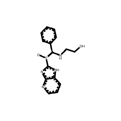 [O-][S+](c1nc2ncccc2[nH]1)C(NCCO)c1ccccc1